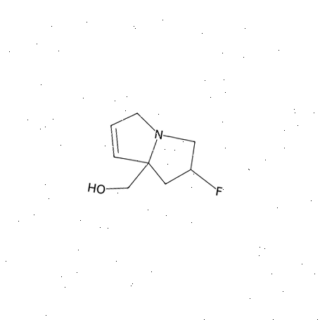 OCC12C=CCN1CC(F)C2